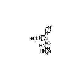 CN1CCN(c2cncc(C(=O)Nc3nnn[nH]3)n2)CC1.Cl.O